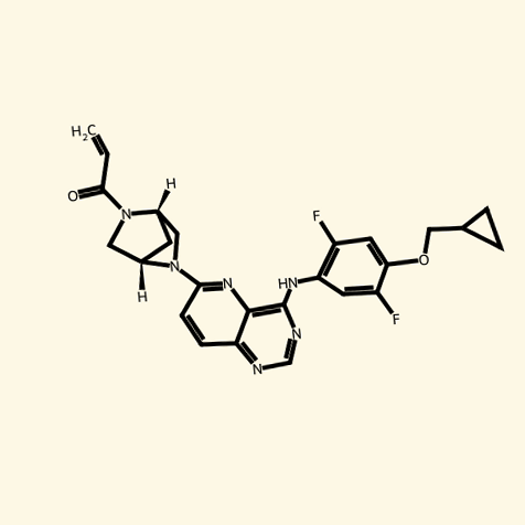 C=CC(=O)N1C[C@@H]2C[C@H]1CN2c1ccc2ncnc(Nc3cc(F)c(OCC4CC4)cc3F)c2n1